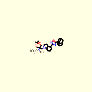 CC1(C)OCC(CN2CCc3c(-c4noc(C56CC7CC(CC(C7)C5)C6)n4)cccc32)(N(C(=O)O)C(C)(C)C)CO1